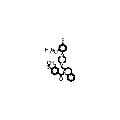 COc1ccc(C(=O)N2c3ccccc3CCC2CN2CCN(c3ccc(F)cc3OC)CC2)cc1